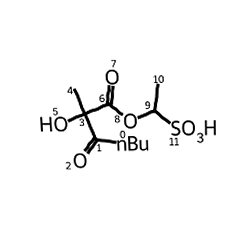 CCCCC(=O)C(C)(O)C(=O)OC(C)S(=O)(=O)O